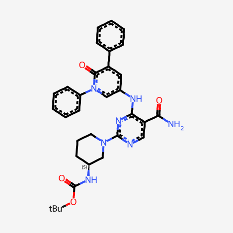 CC(C)(C)OC(=O)N[C@H]1CCCN(c2ncc(C(N)=O)c(Nc3cc(-c4ccccc4)c(=O)n(-c4ccccc4)c3)n2)C1